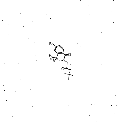 CC(C)(C)OC(=O)CN1C[C@@]2(C[C@@H]2F)c2cc(Br)ccc2C1=O